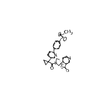 CS(=O)(=O)c1ccc(-c2ccc(C3(C(=O)N4CC[C@@]5(C4)OC(=O)c4cnccc45)CC3)cn2)cc1